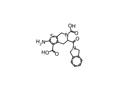 Nc1sc2c(c1C(=O)O)CC(C(=O)N1Cc3ccccc3C1)N(C(=O)O)C2